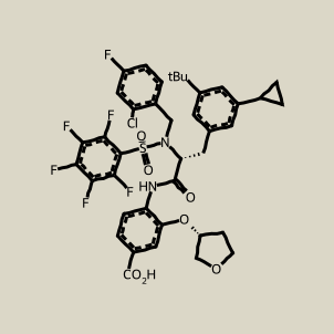 CC(C)(C)c1cc(C[C@H](C(=O)Nc2ccc(C(=O)O)cc2O[C@@H]2CCOC2)N(Cc2ccc(F)cc2Cl)S(=O)(=O)c2c(F)c(F)c(F)c(F)c2F)cc(C2CC2)c1